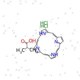 C1=Cc2cc3ccc(cc4nc(cc5ccc(cc1n2)[nH]5)C=C4)[nH]3.CC(C)C(=O)O.Cl.Cl